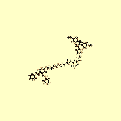 CCN(CCCCNCCOCCOCCNCc1ccc(OCc2ccccc2)c(OCc2ccccc2)c1)CCOc1ccc(C(=O)c2c(-c3ccc(O)cc3)[nH]c3cc(O)ccc23)cc1